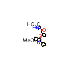 COc1ccc2c(Oc3ccccc3CC(=O)[C@H]3CN[C@H](C(=O)O)C3)cc(-c3ccccc3)nc2c1